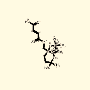 CC1(C)CC[Si](COC(=O)C=CC(=O)O)(O[Si](C)(C)C)[Si](C)(C)O1